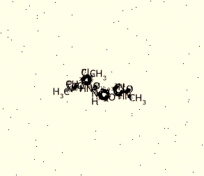 CNC(=O)c1cc(Oc2ccc(NC(=O)Nc3cc(C)c(Cl)cc3OCCN(C)C)cc2)ccn1